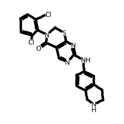 O=C1c2cnc(Nc3ccc4c(c3)CCNC4)nc2SCN1c1c(Cl)cccc1Cl